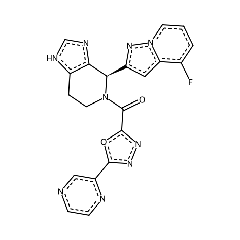 O=C(c1nnc(-c2cnccn2)o1)N1CCc2[nH]cnc2[C@H]1c1cc2c(F)cccn2n1